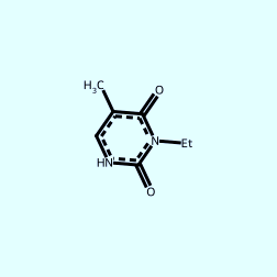 CCn1c(=O)[nH]cc(C)c1=O